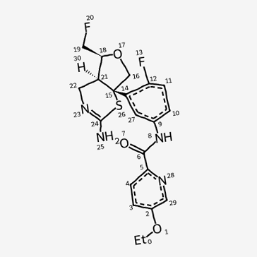 CCOc1ccc(C(=O)Nc2ccc(F)c([C@]34CO[C@H](CF)[C@@H]3CN=C(N)S4)c2)nc1